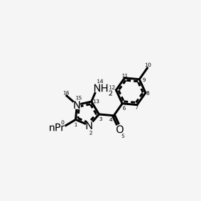 CCCc1nc(C(=O)c2ccc(C)cc2)c(N)n1C